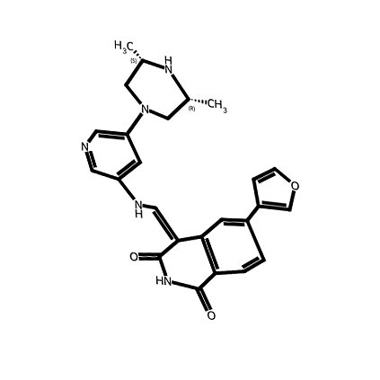 C[C@@H]1CN(c2cncc(NC=C3C(=O)NC(=O)c4ccc(-c5ccoc5)cc43)c2)C[C@H](C)N1